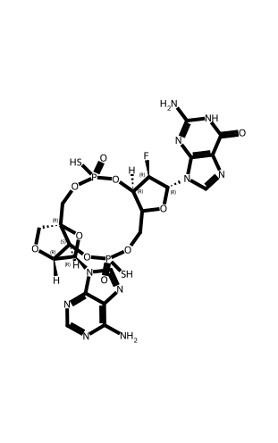 Nc1nc2c(ncn2[C@@H]2OC3COP(=O)(S)O[C@H]4[C@H]5OC[C@]4(COP(=O)(S)O[C@H]3[C@H]2F)O[C@H]5n2cnc3c(N)ncnc32)c(=O)[nH]1